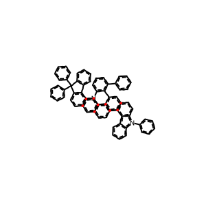 c1ccc(-c2ccccc2-c2c(-c3ccccc3)cccc2N(c2cccc(-c3cccc4c3c3ccccc3n4-c3ccccc3)c2)c2cccc3c2-c2ccccc2C3(c2ccccc2)c2ccccc2)cc1